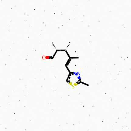 C/C(=C\c1csc(C)n1)[C@@H](C)[C@@H](C)C=O